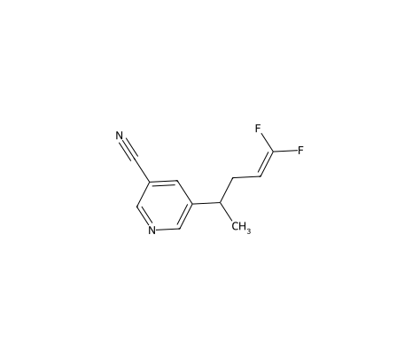 CC(CC=C(F)F)c1cncc(C#N)c1